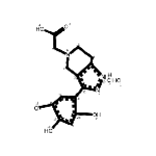 Cl.Cl.O=C(O)CN1CCc2[nH]nc(-c3cc(Cl)c(O)cc3O)c2C1